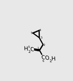 C=C(CC1CC1)C(=O)O